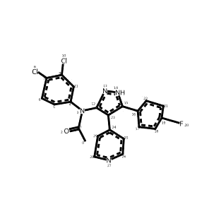 CC(=O)N(c1ccc(Cl)c(Cl)c1)c1n[nH]c(-c2ccc(F)cc2)c1-c1ccncc1